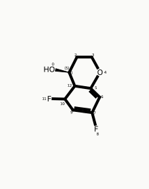 O[C@H]1CCOC2=CC(F)=CC(F)C21